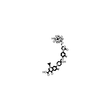 CC(OC(=O)OC[C@H]1CN(c2ccc(OCC3(O)CCN(c4cc5c(cc4F)c(=O)c(C(=O)O)cn5C4CC4)CC3)c(F)c2)C(=O)O1)(P(=O)(O)O)P(=O)(O)O